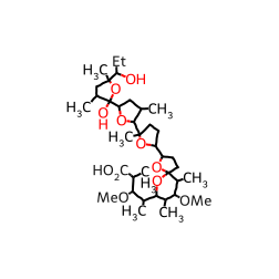 CCC(O)C1(C)CC(C)C(O)(C2CC(C)C(C3(C)CCC(C4CCC5(O4)OC(C(C)C(OC)C(C)C(=O)O)C(C)C(OC)C5C)O3)O2)O1